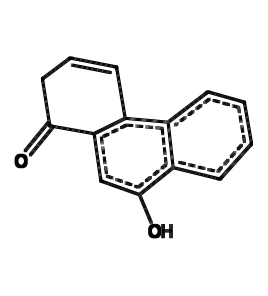 O=C1CC=Cc2c1cc(O)c1ccccc21